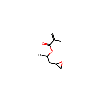 C=C(C)C(=O)OC(CC)CC1CO1